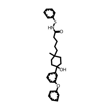 CC1(CCCCC(=O)NSc2ccccc2)CCC(O)(c2cccc(Oc3ccccc3)c2)CC1